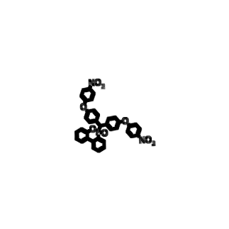 O=[N+]([O-])c1ccc(Oc2ccc(C(c3ccc(Oc4ccc([N+](=O)[O-])cc4)cc3)P3(=O)Oc4ccccc4-c4ccccc43)cc2)cc1